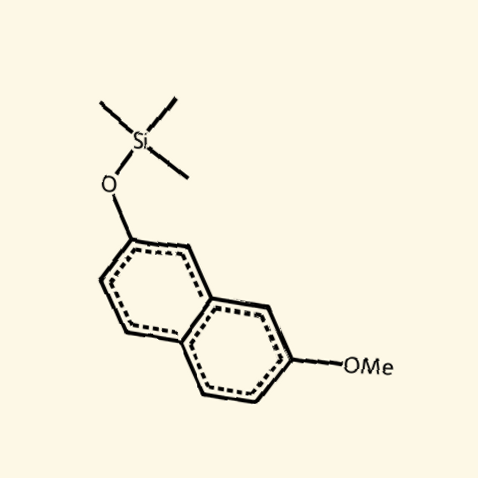 COc1ccc2ccc(O[Si](C)(C)C)cc2c1